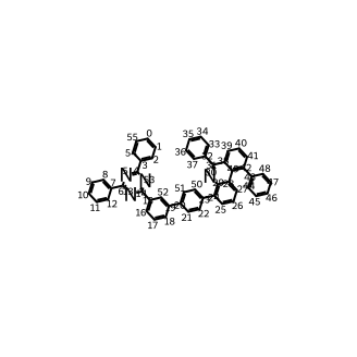 c1ccc(-c2nc(-c3ccccc3)nc(-c3cccc(-c4ccc(-c5cccc6c5nc(-c5ccccc5)c5cccc(-c7ccccc7)c56)cc4)c3)n2)cc1